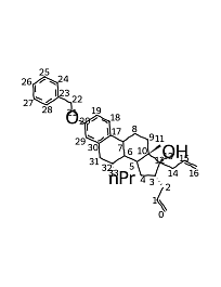 C=CC[C@@H]1CC2C3C(CC[C@]2(C)[C@]1(O)CC=C)c1ccc(OCc2ccccc2)cc1C[C@H]3CCC